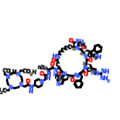 CCCC[C@H](NC(=O)CN1CCC(NC(=O)CN2CCN(CC(=O)O)CCN(CC(=O)O)CCN(CC(=O)O)CC2)CC1)C(=O)N[C@H]1CC(=O)NCCCC[C@@H](C(N)=O)N(C)C(=O)[C@H](Cc2c[nH]c3ccccc23)N(C)C(=O)[C@H](CCCNC(=N)N)N(C)C(=O)[C@@H](Cc2ccccc2)NC(=O)[C@H](Cc2cnc[nH]2)N(C)C1=O